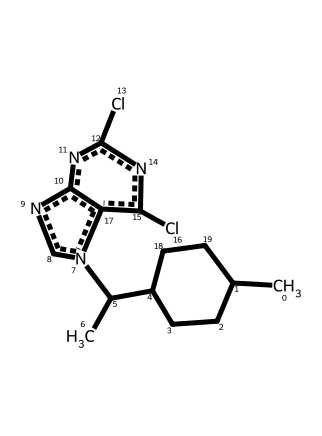 CC1CCC(C(C)n2cnc3nc(Cl)nc(Cl)c32)CC1